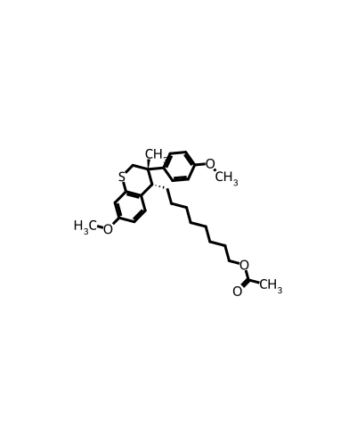 COc1ccc([C@@]2(C)CSc3cc(OC)ccc3[C@H]2CCCCCCCCOC(C)=O)cc1